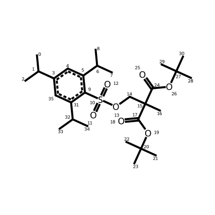 CC(C)c1cc(C(C)C)c(S(=O)(=O)OCC(C)(C(=O)OC(C)(C)C)C(=O)OC(C)(C)C)c(C(C)C)c1